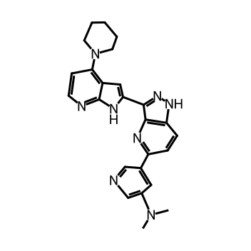 CN(C)c1cncc(-c2ccc3[nH]nc(-c4cc5c(N6CCCCC6)ccnc5[nH]4)c3n2)c1